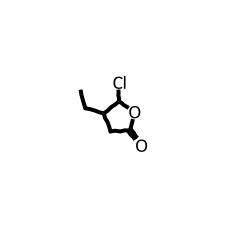 CCC1CC(=O)OC1Cl